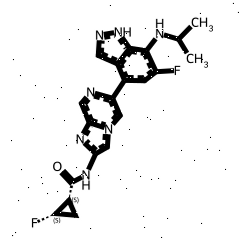 CC(C)Nc1c(F)cc(-c2cn3cc(NC(=O)[C@@H]4C[C@@H]4F)nc3cn2)c2cn[nH]c12